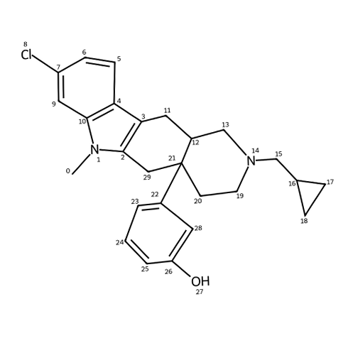 Cn1c2c(c3ccc(Cl)cc31)CC1CN(CC3CC3)CCC1(c1cccc(O)c1)C2